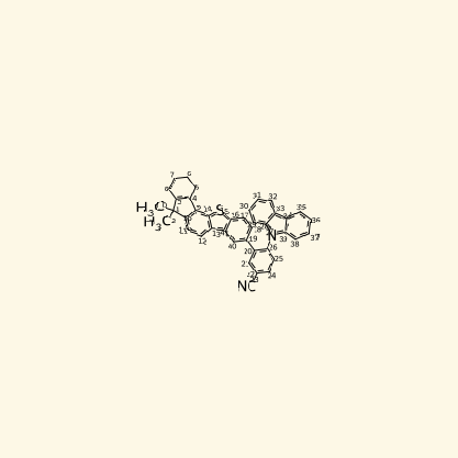 CC1(C)C2=C(CCC=C2)c2c1ccc1c2sc2ccc(-c3cc(C#N)ccc3-n3c4ccccc4c4ccccc43)cc21